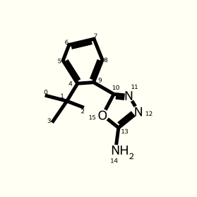 CC(C)(C)c1ccccc1-c1nnc(N)o1